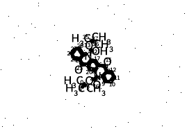 CC(C)(C)OC(=O)n1c2ccccc2c(=O)c2cc3c(cc21)c(=O)c1ccccc1n3C(O)OC(C)(C)C